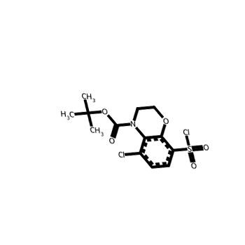 CC(C)(C)OC(=O)N1CCOc2c(S(=O)(=O)Cl)ccc(Cl)c21